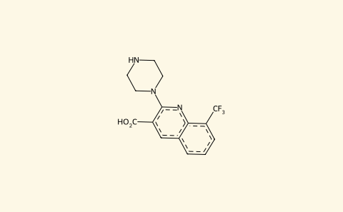 O=C(O)c1cc2cccc(C(F)(F)F)c2nc1N1CCNCC1